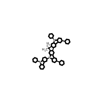 CC1(C)c2cc3c(cc2-c2cc4c5cc(-c6ccccc6)ccc5n(-c5ccc6c(c5)c5ccccc5n6-c5ccccc5)c4cc21)c1cc(-c2ccccc2)ccc1n3-c1ccccc1